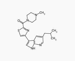 CC(C)Cc1cnc2[nH]cc(-c3csc(C(=O)N4CCN(C)CC4)n3)c2c1